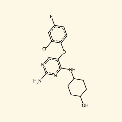 Nc1ncc(Oc2ccc(F)cc2Cl)c(NC2CCC(O)CC2)n1